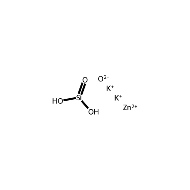 O=[Si](O)O.[K+].[K+].[O-2].[Zn+2]